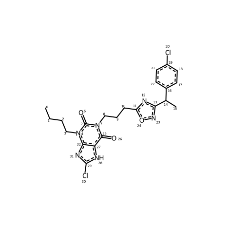 CCCCn1c(=O)n(CCCc2nc(C(C)c3ccc(Cl)cc3)no2)c(=O)c2[nH]c(Cl)nc21